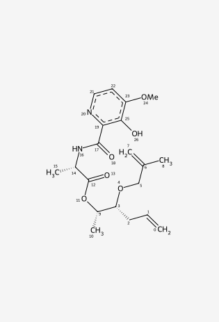 C=CC[C@@H](OCC(=C)C)[C@H](C)OC(=O)[C@H](C)NC(=O)c1nccc(OC)c1O